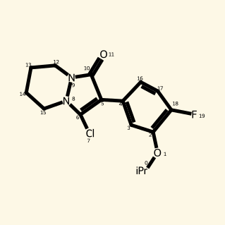 CC(C)Oc1cc(-c2c(Cl)n3n(c2=O)CCCC3)ccc1F